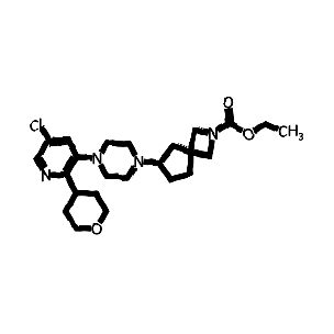 CCOC(=O)N1CC2(CCC(N3CCN(c4cc(Cl)cnc4C4CCOCC4)CC3)C2)C1